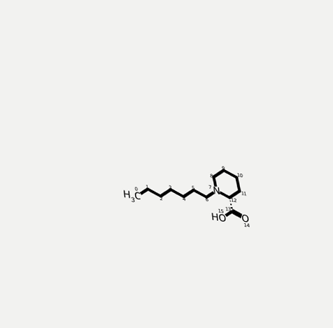 CCCCCCCN1CCCC[C@@H]1C(=O)O